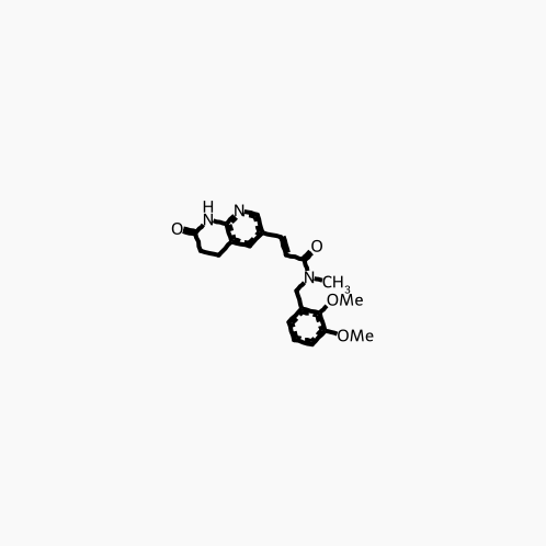 COc1cccc(CN(C)C(=O)C=Cc2cnc3c(c2)CCC(=O)N3)c1OC